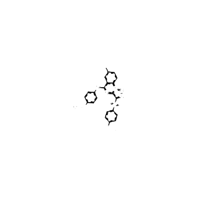 COc1ccc(Nc2nc3c(S(=O)(=O)c4ccc(C)cc4)nnn3c3ccc(Cl)cc23)cc1